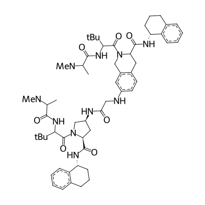 CNC(C)C(=O)NC(C(=O)N1Cc2cc(NCC(=O)N[C@H]3C[C@@H](C(=O)N[C@@H]4CCCc5ccccc54)N(C(=O)C(NC(=O)C(C)NC)C(C)(C)C)C3)ccc2CC1C(=O)N[C@@H]1CCCc2ccccc21)C(C)(C)C